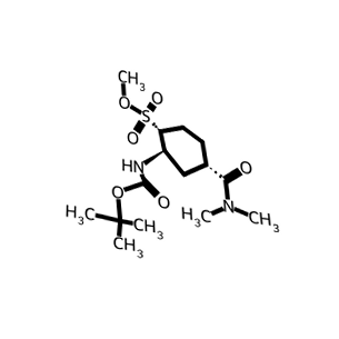 COS(=O)(=O)[C@@H]1CC[C@H](C(=O)N(C)C)C[C@H]1NC(=O)OC(C)(C)C